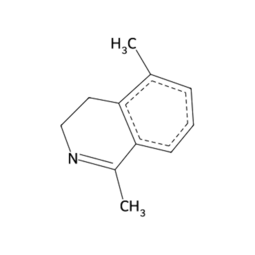 CC1=NCCc2c(C)cccc21